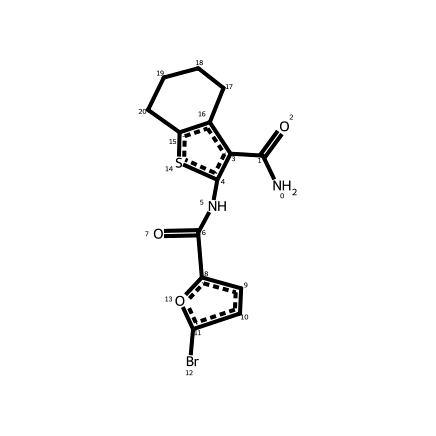 NC(=O)c1c(NC(=O)c2ccc(Br)o2)sc2c1CCCC2